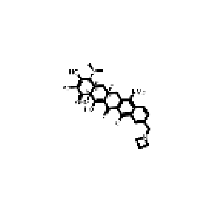 CNc1c2c(c(O)c3cc(CN4CCC4)ccc13)C(=O)C1=C(O)[C@]3(O)C(=O)C(C(C)=O)=C(O)[C@@H](N(C)C)[C@@H]3C[C@@H]1C2